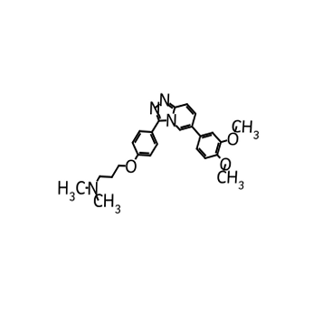 COc1ccc(-c2ccc3nnc(-c4ccc(OCCCN(C)C)cc4)n3c2)cc1OC